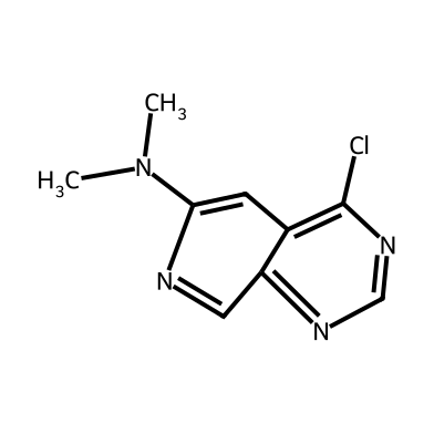 CN(C)c1cc2c(Cl)ncnc2cn1